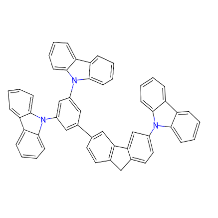 c1ccc2c(c1)c1ccccc1n2-c1cc(-c2ccc3c(c2)-c2cc(-n4c5ccccc5c5ccccc54)ccc2C3)cc(-n2c3ccccc3c3ccccc32)c1